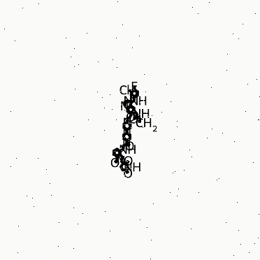 C=CC(=O)Nc1cc2c(Nc3ccc(F)c(Cl)c3)ncnc2cc1OCN1CCC(N2CCN(C(=O)CNc3cccc4c3CN(C3CCC(=O)NC3=O)C4=O)CC2)CC1